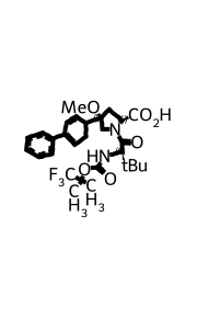 CO[C@@]1(C2C=CC(c3ccccc3)=CC2)C[C@@H](C(=O)O)N(C(=O)[C@@H](NC(=O)OC(C)(C)C(F)(F)F)C(C)(C)C)C1